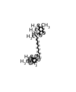 CC1=[C]C(=O)C(C(=O)NC(C)CCCCCCCCCN(C=O)Oc2cccc([N+](C)(C)C)c2C)C(C)=C1C